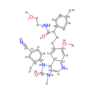 COCCNC(=O)C(CCC1=CC2C(=NC=C3C2N(c2ccc(C#N)cc2F)C(=O)N3C)C=C1OC)c1ccc(F)cc1